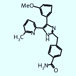 COc1cccc(-c2nc(Cc3ccc(C(N)=O)cc3)[nH]c2-c2cccc(C)n2)c1